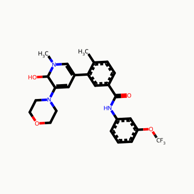 Cc1ccc(C(=O)Nc2cccc(OC(F)(F)F)c2)cc1C1=CN(C)C(O)C(N2CCOCC2)=C1